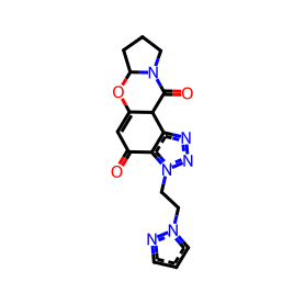 O=C1C=C2OC3CCCN3C(=O)C2c2nnn(CCn3cccn3)c21